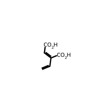 C=C/C(=C/C(=O)O)C(=O)O